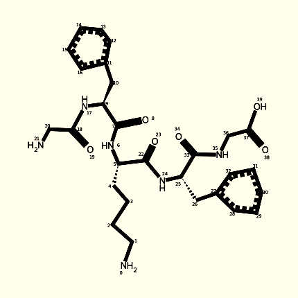 NCCCC[C@H](NC(=O)[C@H](Cc1ccccc1)NC(=O)CN)C(=O)N[C@@H](Cc1ccccc1)C(=O)NCC(=O)O